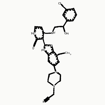 Cc1cc(N2CCN(CC#N)CC2)cc2[nH]c(-c3c(NCC(O)c4cccc(Cl)c4)cc[nH]c3=O)nc12